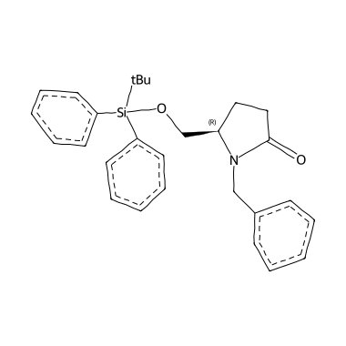 CC(C)(C)[Si](OC[C@H]1CCC(=O)N1Cc1ccccc1)(c1ccccc1)c1ccccc1